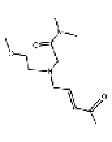 COCCN(C/C=C/C(C)=O)CC(=O)N(C)C